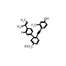 CC=C(N)c1ccc(-c2cc(C(=O)OCC)ccc2C#Cc2ccc(O)cc2C(F)(F)F)cc1F